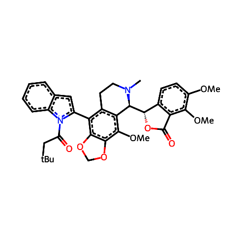 COc1ccc2c(c1OC)C(=O)O[C@@H]2[C@H]1c2c(c(-c3cc4ccccc4n3C(=O)CC(C)(C)C)c3c(c2OC)OCO3)CCN1C